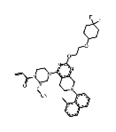 C=CC(=O)N1CCN(c2nc(OCCOC3CCC(F)(F)CC3)nc3c2CCN(c2cccc4cccc(C)c24)C3)C[C@@H]1CC#N